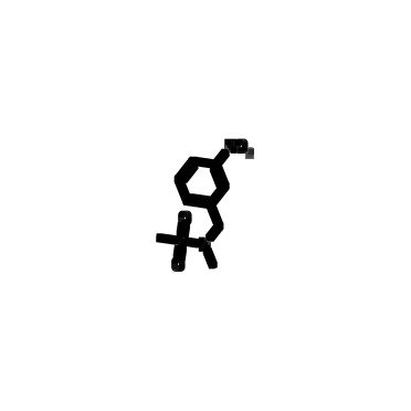 CN(Cc1cccc([N+](=O)[O-])c1)S(C)(=O)=O